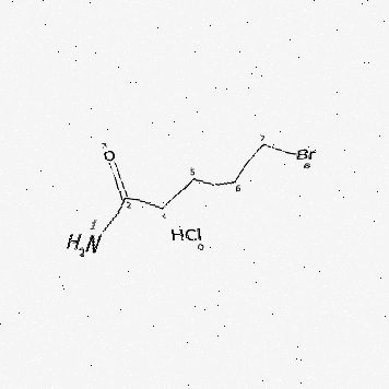 Cl.NC(=O)CCCCBr